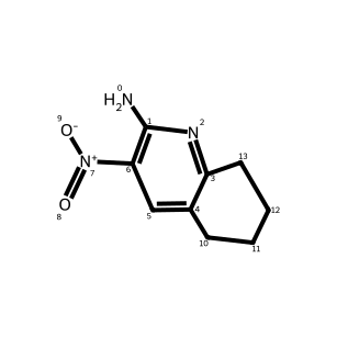 Nc1nc2c(cc1[N+](=O)[O-])CCCC2